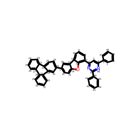 c1ccc(-c2cc(-c3cccc4c3oc3ccc(-c5ccc6c7ccccc7c7ccccc7c6c5)cc34)nc(-c3ccccc3)n2)cc1